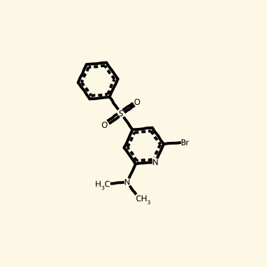 CN(C)c1cc(S(=O)(=O)c2ccccc2)cc(Br)n1